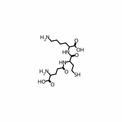 NCCCCC(NC(=O)C(CCS)NC(=O)CCC(N)C(=O)O)C(=O)O